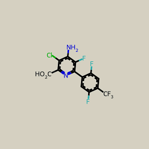 Nc1c(F)c(-c2cc(F)c(C(F)(F)F)cc2F)nc(C(=O)O)c1Cl